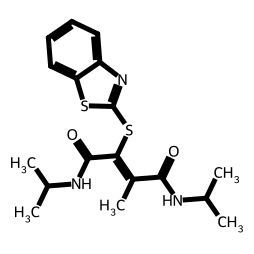 CC(C(=O)NC(C)C)=C(Sc1nc2ccccc2s1)C(=O)NC(C)C